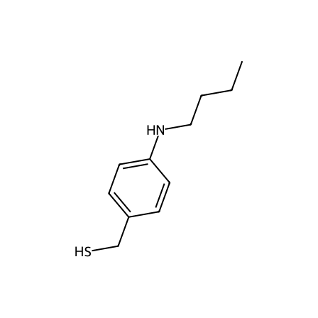 CCCCNc1ccc(CS)cc1